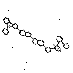 c1ccc(-n2c3ccccc3c3ccc(-c4ccc5cc(-c6ccc7cc(-c8cccc(-c9cnc%10c%11ccccc%11c%11ccccc%11c%10n9)c8)ccc7c6)ccc5c4)cc32)cc1